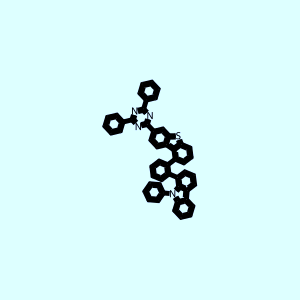 c1ccc(-c2nc(-c3ccccc3)nc(-c3ccc4c(c3)sc3cccc(-c5ccccc5-c5cccc6c7ccccc7n(-c7ccccc7)c56)c34)n2)cc1